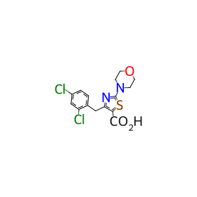 O=C(O)c1sc(N2CCOCC2)nc1Cc1ccc(Cl)cc1Cl